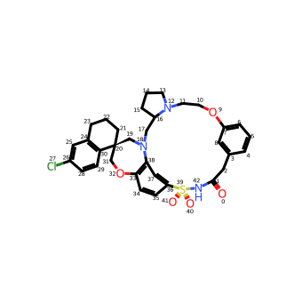 O=C1Cc2cccc(c2)OCCN2CCCC2CN2C[C@@]3(CCCc4cc(Cl)ccc43)COc3ccc(cc32)S(=O)(=O)N1